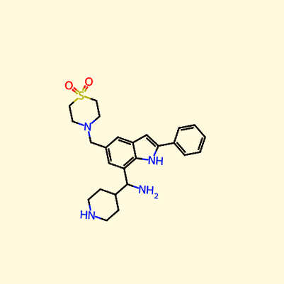 NC(c1cc(CN2CCS(=O)(=O)CC2)cc2cc(-c3ccccc3)[nH]c12)C1CCNCC1